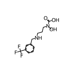 O=C(O)N(O)CCCNCc1cccc(C(F)(F)F)c1